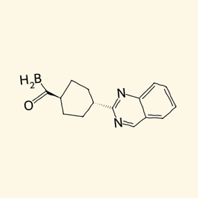 BC(=O)[C@H]1CC[C@H](c2ncc3ccccc3n2)CC1